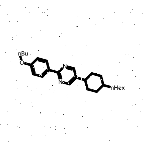 CCCCCCC1CCC(c2cnc(-c3ccc(OCCCC)cc3)nc2)CC1